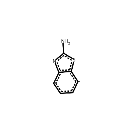 Nc1nc2ccc[c]c2s1